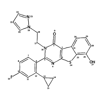 O=c1c2c(nc(-c3ccc(F)cc3C3CC3)n1CCn1cccn1)sc1c(O)cccc12